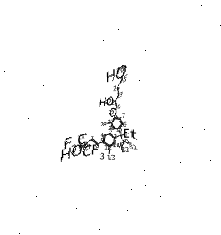 CCC(c1ccc(C=CC(O)(C(F)(F)F)C(F)(F)F)c(C)c1)(c1ccc(OCC(O)CCCO)c(C)c1)C(C)I